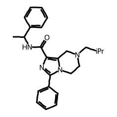 CC(C)CN1CCn2c(-c3ccccc3)nc(C(=O)NC(C)c3ccccc3)c2C1